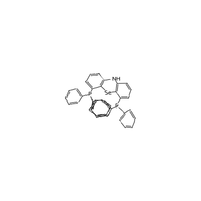 c1ccc(P(c2ccccc2)c2cccc3c2[Se]c2c(cccc2P(c2ccccc2)c2ccccc2)N3)cc1